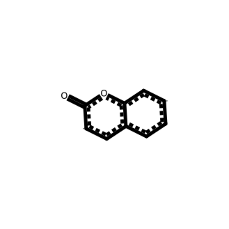 O=c1[c]cc2cc[c]cc2o1